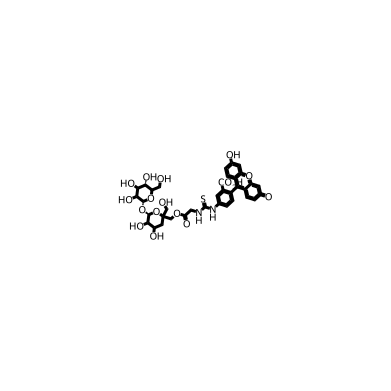 O=C(CNC(=S)Nc1ccc(-c2c3ccc(=O)cc-3oc3cc(O)ccc23)c(C(=O)O)c1)OCC1(CO)CC(O)C(O)[C@@H](O[C@H]2OC(CO)[C@@H](O)C(O)C2O)O1